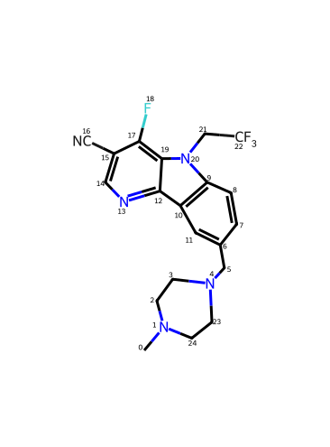 CN1CCN(Cc2ccc3c(c2)c2ncc(C#N)c(F)c2n3CC(F)(F)F)CC1